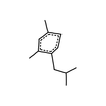 Cc1[c]cc(CC(C)C)c(C)c1